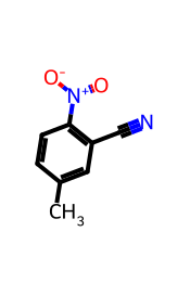 Cc1ccc([N+](=O)[O-])c(C#N)c1